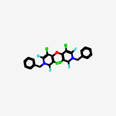 FC1=C(Cl)C(OC2=C(Cl)C(F)N(Cc3ccccc3)C(F)=C2Cl)=C(Cl)C(F)N1Cc1ccccc1